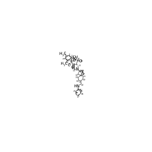 Cc1cc(C)c(S(=O)(=O)N[C@@H](CN(C=O)C2=NOC3(CCC(CNc4ccccn4)CC3)C2)C(=O)O)c(C)c1